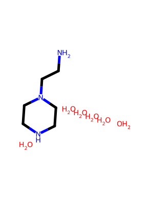 NCCN1CCNCC1.O.O.O.O.O.O